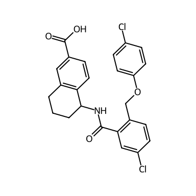 O=C(O)c1ccc2c(c1)CCCC2NC(=O)c1cc(Cl)ccc1COc1ccc(Cl)cc1